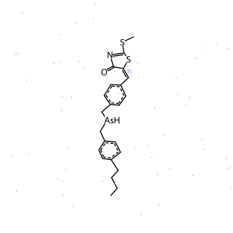 CCCCc1ccc(C[AsH]Cc2ccc(/C=C3/SC(SC)=NC3=O)cc2)cc1